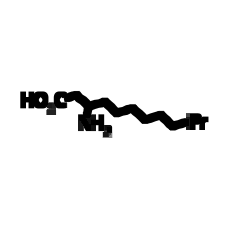 CC(C)CCCCCCC(N)CC(=O)O